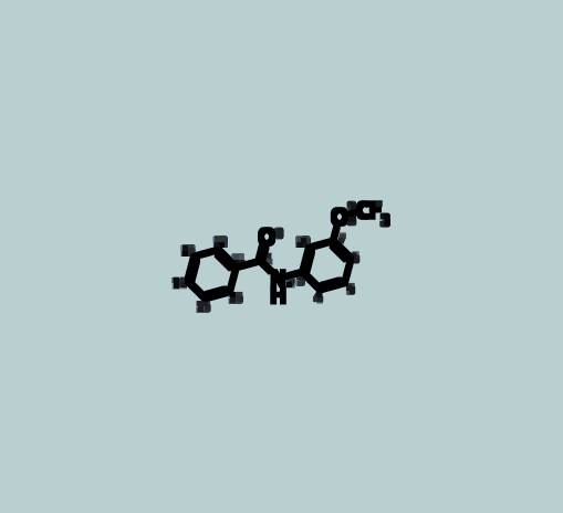 O=C(Nc1cccc(OC(F)(F)F)c1)c1ccccc1